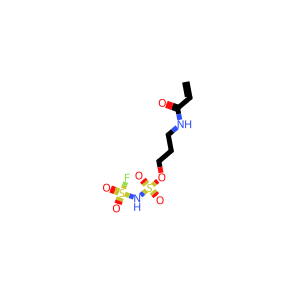 C=CC(=O)NCCCOS(=O)(=O)NS(=O)(=O)F